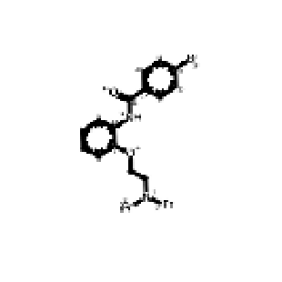 CC(C)N(CCOc1ccccc1NC(=O)c1ccc(Br)cc1)C(C)C